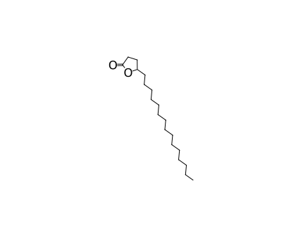 CCCCCCCCCCCCCCCC1CCC(=O)O1